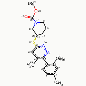 COc1cc(C)ccc1-c1nnc(S[C@@H]2CCCN(C(=O)OC(C)(C)C)C2)cc1C